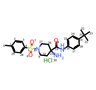 Cc1ccc(S(=O)(=O)N2CCC(N)(C(=O)Nc3ccc(C(C)(C)C)cc3)CC2)cc1.Cl